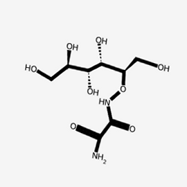 NC(=O)C(=O)NO[C@H](CO)[C@@H](O)[C@H](O)[C@H](O)CO